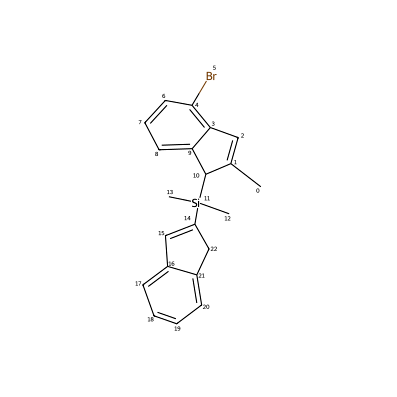 CC1=Cc2c(Br)cccc2C1[Si](C)(C)C1=Cc2ccccc2C1